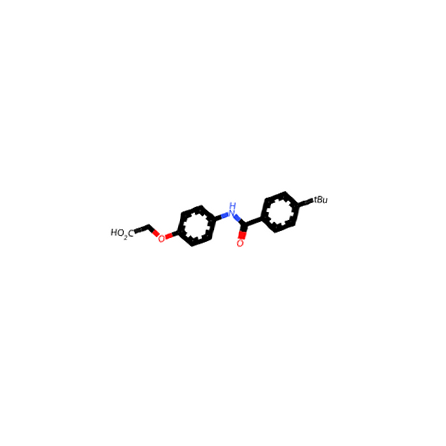 CC(C)(C)c1ccc(C(=O)Nc2ccc(OCC(=O)O)cc2)cc1